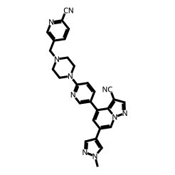 Cn1cc(-c2cc(-c3ccc(N4CCN(Cc5ccc(C#N)nc5)CC4)nc3)c3c(C#N)cnn3c2)cn1